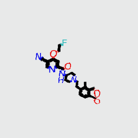 Cc1c(CCN2CCC(NC(=O)c3cc(OCCF)c(C#N)cn3)CC2)ccc2c1COC2=O